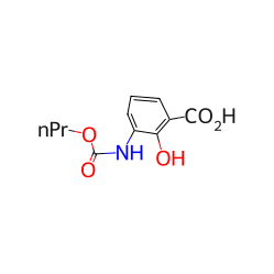 CCCOC(=O)Nc1cccc(C(=O)O)c1O